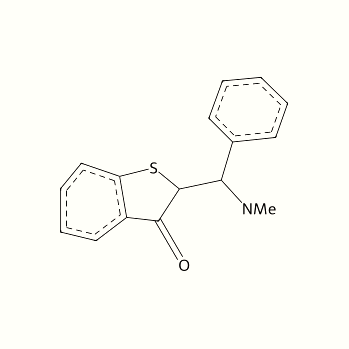 CNC(c1ccccc1)C1Sc2ccccc2C1=O